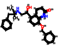 CC(C)(Cc1ccccc1)NCC(O)c1ccc(OCc2ccccc2)c2[nH]c(=O)ccc12